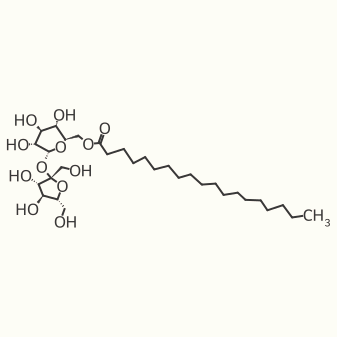 CCCCCCCCCCCCCCCCCCC(=O)OC[C@H]1O[C@H](O[C@]2(CO)O[C@H](CO)[C@@H](O)[C@@H]2O)[C@H](O)[C@@H](O)[C@@H]1O